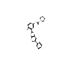 O=C(Nc1ccc(Cl)c(-c2nc3ncc(-c4ccccc4)cc3[nH]2)c1)N1CCCC1